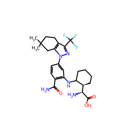 CC1(C)CCc2c(C(F)(F)F)nn(-c3ccc(C(N)=O)c(NC4CCCC[C@H]4[C@H](N)C(=O)O)c3)c2C1